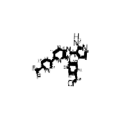 Nc1ncccc1-c1nc2ccc(-c3ccc(C(F)F)nc3)nc2n1-c1ccc(CCl)cc1